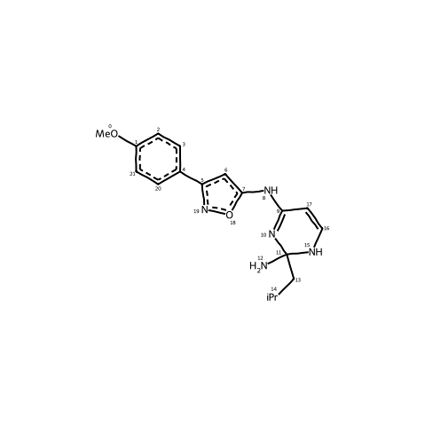 COc1ccc(-c2cc(NC3=NC(N)(CC(C)C)NC=C3)on2)cc1